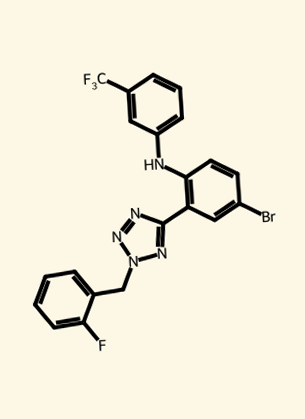 Fc1ccccc1Cn1nnc(-c2cc(Br)ccc2Nc2cccc(C(F)(F)F)c2)n1